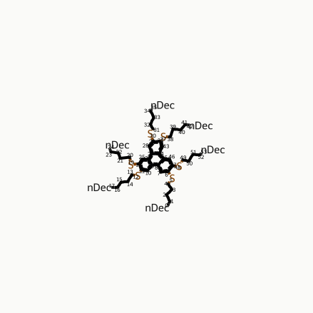 CCCCCCCCCCCCCCSc1cc2c3cc(SCCCCCCCCCCCCCC)c(SCCCCCCCCCCCCCC)cc3c3cc(SCCCCCCCCCCCCCC)c(SCCCCCCCCCCCCCC)cc3c2cc1SCCCCCCCCCCCCCC